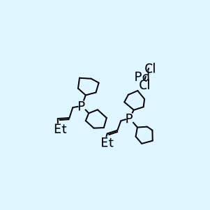 CCC=CCP(C1CCCCC1)C1CCCCC1.CCC=CCP(C1CCCCC1)C1CCCCC1.[Cl][Pd][Cl]